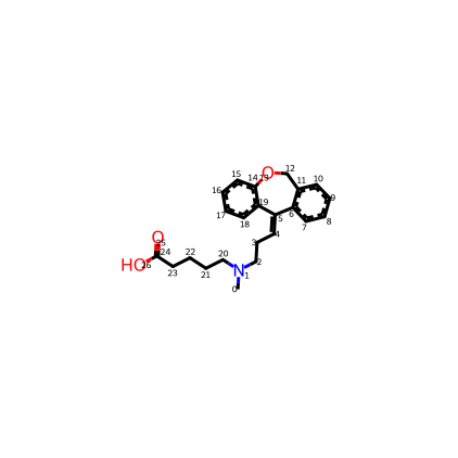 CN(CC/C=C1/c2ccccc2COc2ccccc21)CCCCC(=O)O